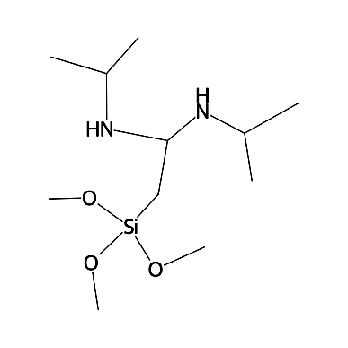 CO[Si](CC(NC(C)C)NC(C)C)(OC)OC